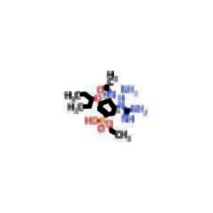 CCOP(=O)(O)C1=C[C@@H](OC(CC)CC)[C@H](NC(C)=O)[C@@H](NC(=N)N)C1.N